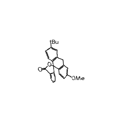 COc1ccc2c(c1)Cc1cc(C(C)(C)C)ccc1C21OC(=O)c2ccccc21